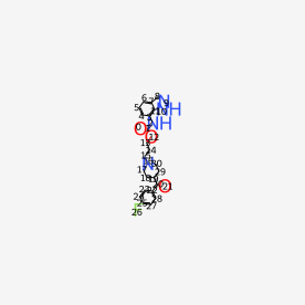 O=C(Nc1cccc2cn[nH]c12)OCCCN1CCC(C(=O)c2ccc(F)cc2)CC1